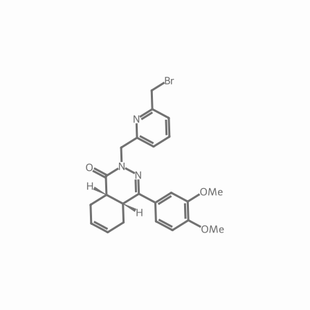 COc1ccc(C2=NN(Cc3cccc(CBr)n3)C(=O)[C@H]3CC=CC[C@@H]23)cc1OC